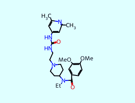 CCN(C(=O)c1ccc(OC)c(OC)c1)C1CCN(CCNC(=O)Nc2cc(C)nc(C)c2)CC1